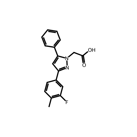 Cc1ccc(-c2cc(-c3ccccc3)n(CC(=O)O)n2)cc1F